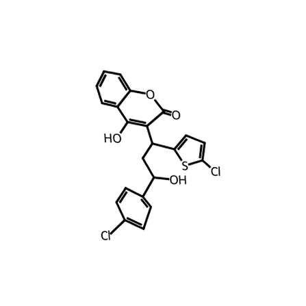 O=c1oc2ccccc2c(O)c1C(CC(O)c1ccc(Cl)cc1)c1ccc(Cl)s1